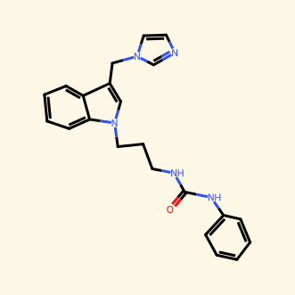 O=C(NCCCn1cc(Cn2ccnc2)c2ccccc21)Nc1ccccc1